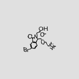 COC(O)CN1C(=O)c2cc(Br)ccc2C1COCC[Si](C)(C)C